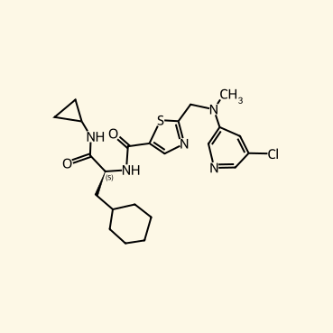 CN(Cc1ncc(C(=O)N[C@@H](CC2CCCCC2)C(=O)NC2CC2)s1)c1cncc(Cl)c1